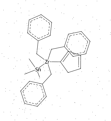 [CH3][Sn]([CH3])([CH3])[Zr]([CH2]c1ccccc1)([CH2]c1ccccc1)([CH2]c1ccccc1)[C]1=CC=CC1